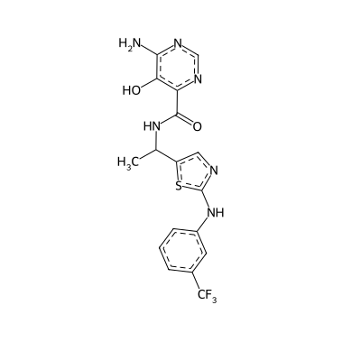 CC(NC(=O)c1ncnc(N)c1O)c1cnc(Nc2cccc(C(F)(F)F)c2)s1